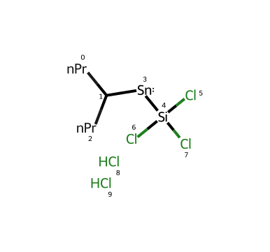 CCC[CH](CCC)[Sn][Si](Cl)(Cl)Cl.Cl.Cl